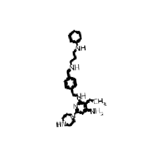 CCc1c(N)cc(N2CCNCC2)nc1NCc1ccc(CNCCCNC2CCCCC2)cc1